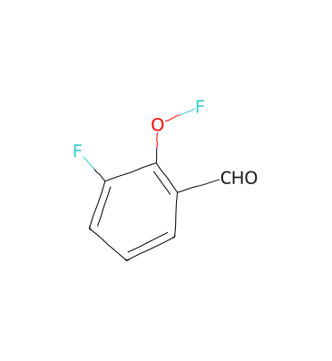 O=Cc1cccc(F)c1OF